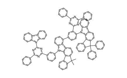 CC1(C)c2ccccc2-c2c1ccc1c3c(-c4ccc(-n5c6ccccc6c6ccc7c(c65)-c5ccccc5C7(c5ccccc5)c5ccccc5)c(-c5nc(-c6ccccc6)nc(-c6ccccc6)n5)c4)cccc3n(-c3cccc(-c4nc(-c5ccccc5)nc(-n5c6ccccc6c6ccccc65)n4)c3)c21